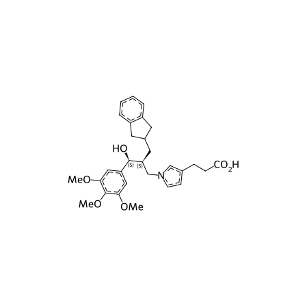 COc1cc([C@@H](O)[C@@H](CC2Cc3ccccc3C2)Cn2ccc(CCC(=O)O)c2)cc(OC)c1OC